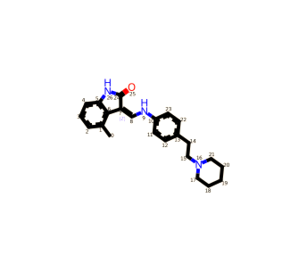 Cc1cccc2c1/C(=C/Nc1ccc(CCN3CCCCC3)cc1)C(=O)N2